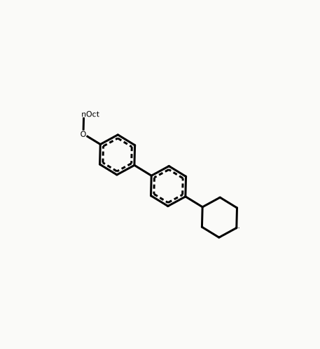 CCCCCCCCOc1ccc(-c2ccc(C3CC[CH]CC3)cc2)cc1